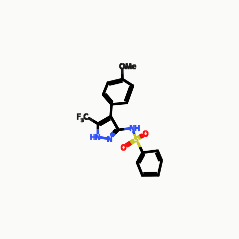 COc1ccc(-c2c(NS(=O)(=O)c3ccccc3)n[nH]c2C(F)(F)F)cc1